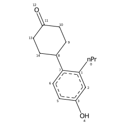 CCCc1cc(O)ccc1C1CCC(=O)CC1